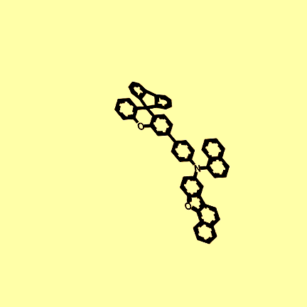 c1ccc2c(c1)Oc1cc(-c3ccc(N(c4ccc5oc6c7ccccc7ccc6c5c4)c4cccc5ccccc45)cc3)ccc1C21c2ccccc2-c2ccccc21